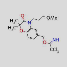 COCCCN1C(=O)C(C)(C)Oc2ccc(COC(=N)C(Cl)(Cl)Cl)cc21